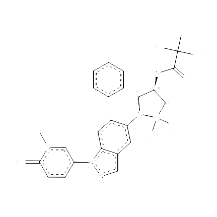 Cn1cc(-n2ncc3cc(N4[C@H](c5ccccc5)[C@@H](NC(=O)C(C)(F)F)CS4(O)O)ccc32)ccc1=O